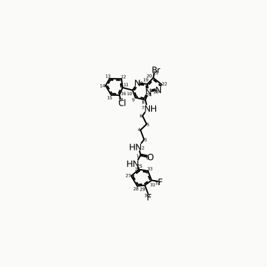 O=C(NCCCCNc1cc(-c2ccccc2Cl)nc2c(Br)cnn12)Nc1ccc(F)c(F)c1